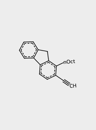 C#Cc1ccc2c(c1CCCCCCCC)Cc1ccccc1-2